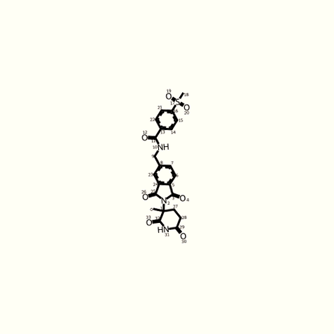 CC1(N2C(=O)c3ccc(CNC(=O)c4ccc(S(C)(=O)=O)cc4)cc3C2=O)CCC(=O)NC1=O